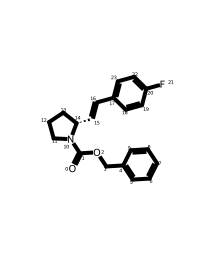 O=C(OCc1ccccc1)N1CCC[C@@H]1/C=C/c1ccc(F)cc1